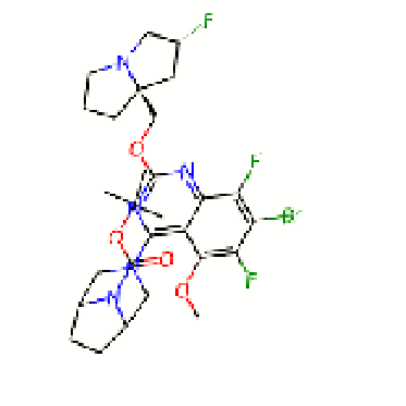 COc1c(F)c(Br)c(F)c2nc(OC[C@@]34CCCN3C[C@H](F)C4)nc(N3CC4CCC(C3)N4C(=O)OC(C)(C)C)c12